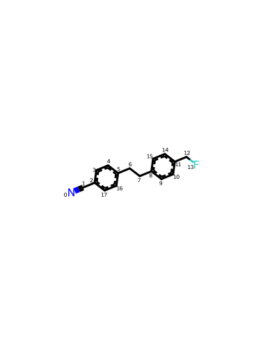 N#Cc1ccc(CCc2ccc(CF)cc2)cc1